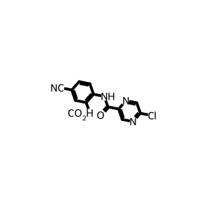 N#Cc1ccc(NC(=O)c2cnc(Cl)cn2)c(C(=O)O)c1